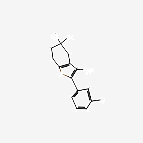 CCc1cccc(-c2sc3c(c2C(=O)O)CC(C)(C)CC3)c1